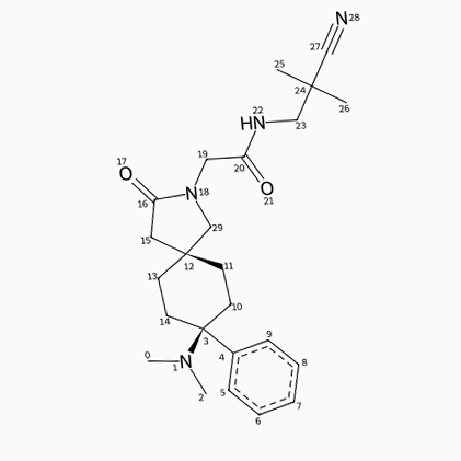 CN(C)[C@]1(c2ccccc2)CC[C@@]2(CC1)CC(=O)N(CC(=O)NCC(C)(C)C#N)C2